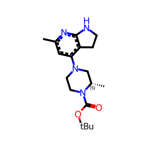 Cc1cc(N2CCN(C(=O)OC(C)(C)C)[C@@H](C)C2)c2c(n1)NCC2